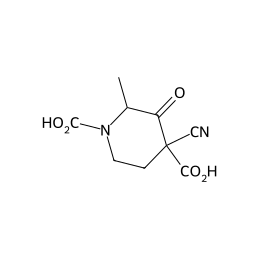 CC1C(=O)C(C#N)(C(=O)O)CCN1C(=O)O